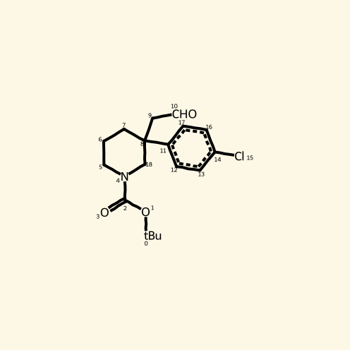 CC(C)(C)OC(=O)N1CCCC(CC=O)(c2ccc(Cl)cc2)C1